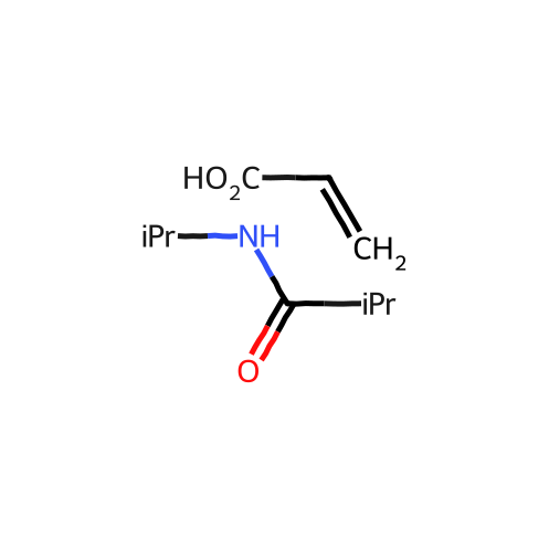 C=CC(=O)O.CC(C)NC(=O)C(C)C